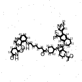 CC(=O)N1CCc2c(c(N3CCCc4cc(-c5cnn(C)c5)c(C(F)F)cc43)nn2C2CCN(C(=O)CCCCCNc3cccc4nnn(C5CCC(=O)NC5=O)c(=O)c34)CC2)C1